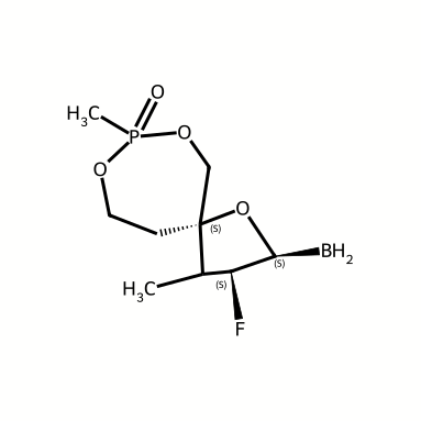 B[C@@H]1O[C@@]2(CCOP(C)(=O)OC2)C(C)[C@@H]1F